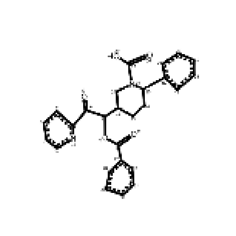 O=C(OC(C(=O)c1ccccn1)C1CCC(c2ccccc2)N(C(=O)O)C1)c1ccccc1